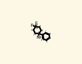 NC1(c2ccccc2)CCC(F)(F)CC1